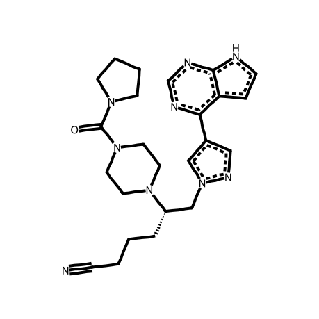 N#CCCC[C@@H](Cn1cc(-c2ncnc3[nH]ccc23)cn1)N1CCN(C(=O)N2CCCC2)CC1